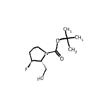 CC(C)(C)OC(=O)N1CC[C@H](F)[C@H]1CO